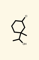 CC(O)C1(C)CCCC(Cl)C1